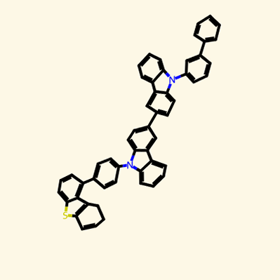 C1=Cc2sc3cccc(-c4ccc(-n5c6ccccc6c6cc(-c7ccc8c(c7)c7ccccc7n8-c7cccc(-c8ccccc8)c7)ccc65)cc4)c3c2CC1